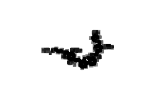 COc1cc(/C=C/c2cccc(-c3cccc(NC(=O)c4cc(OC)c(CN5CC[C@@H](O)C5)cn4)c3C)c2C)c(C(F)(F)F)cc1CNCCCC(=O)O